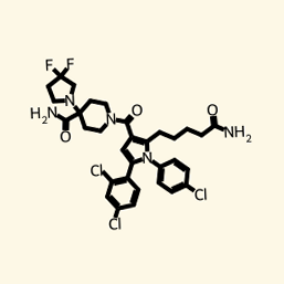 NC(=O)CCCCc1c(C(=O)N2CCC(C(N)=O)(N3CCC(F)(F)C3)CC2)cc(-c2ccc(Cl)cc2Cl)n1-c1ccc(Cl)cc1